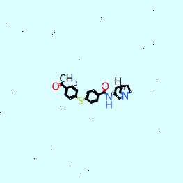 CC(=O)c1ccc(Sc2ccc(C(=O)N[C@@H]3C[C@H]4CCN(C4)C3)cc2)cc1